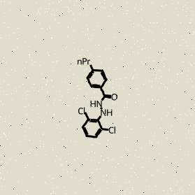 CCCc1ccc(C(=O)NNc2c(Cl)cccc2Cl)cc1